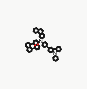 c1ccc(-c2cccc3cccc(-c4ccc(N(c5ccc(-c6ccc7c(c6)c6ccccc6n7-c6ccccc6)cc5)c5ccc6ccc7ccccc7c6c5)cc4)c23)cc1